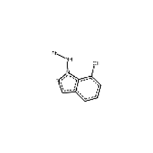 CCNn1ncc2cccc(O)c21